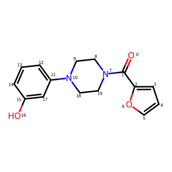 O=C(c1ccco1)N1CCN(c2cccc(O)c2)CC1